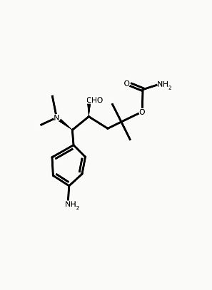 CN(C)[C@H](c1ccc(N)cc1)[C@@H](C=O)CC(C)(C)OC(N)=O